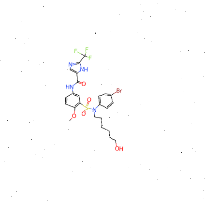 COc1ccc(NC(=O)c2cnc(C(F)(F)F)[nH]2)cc1S(=O)(=O)N(CCCCCCO)c1ccc(Br)cc1